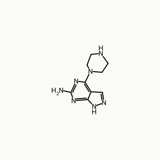 Nc1nc(N2CCNCC2)c2cn[nH]c2n1